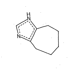 c1nc2c([nH]1)CCCCC2